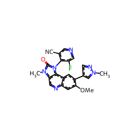 COc1cc2ncc3c(c2cc1-c1cnn(C)c1)n(-c1c(F)cncc1C#N)c(=O)n3C